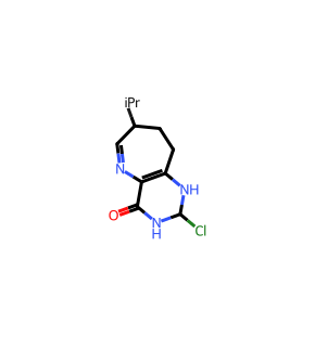 CC(C)C1C=NC2=C(CC1)NC(Cl)NC2=O